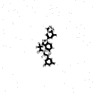 Cc1cc(-n2ncc3cc(O[C@H](c4cc(F)cc(F)c4)[C@H](C)NC(=O)C(C)(F)F)ccc32)cn2cnnc12